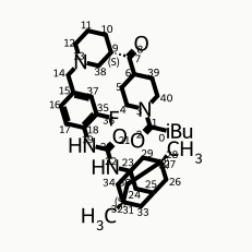 CCC(C)C(=O)N1CCC(C(=O)[C@H]2CCCN(Cc3ccc(NC(=O)NC45CC6C[C@@](C)(C4)C[C@](C)(C6)C5)c(F)c3)C2)CC1